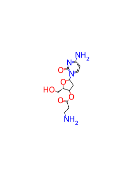 NCCC(=O)O[C@@H]1C[C@H](n2ccc(N)nc2=O)O[C@@H]1CO